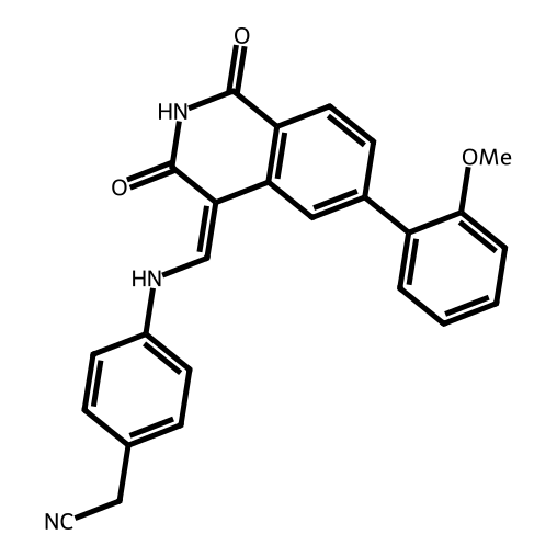 COc1ccccc1-c1ccc2c(c1)C(=CNc1ccc(CC#N)cc1)C(=O)NC2=O